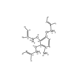 CC=C(C)[SiH2]Oc1ccc([SiH3])c(O[SiH2]C(C)=CC)c1O[SiH2]C(C)=CC